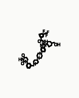 O=C1CCN(c2cccc(CN3CCC(N4CCN(c5ccc6c(c5)nc(NC(=O)c5cccc(C(F)(F)F)c5)n6C5CCC(CO)CC5)CC4)CC3)c2)C(=O)N1